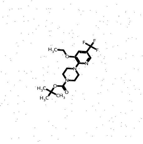 CCOc1cc(C(F)(F)F)cnc1N1CCN(C(=O)OC(C)(C)C)CC1